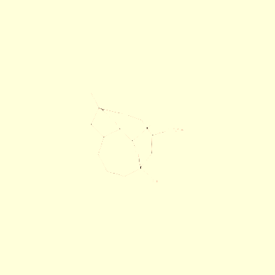 CCCC12CCCC3CC(C)(CCC(SC)C1)CC3C(C)C2